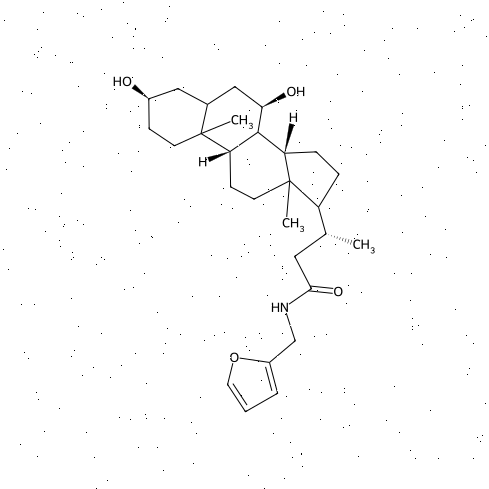 C[C@H](CC(=O)NCc1ccco1)C1CC[C@H]2C3[C@H](O)CC4C[C@H](O)CCC4(C)[C@H]3CCC12C